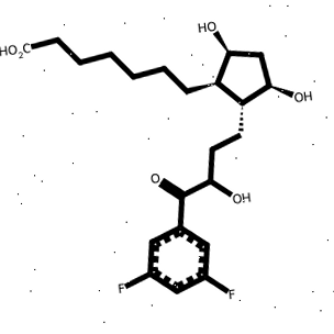 O=C(O)CCCCCC[C@@H]1[C@@H](CCC(O)C(=O)c2cc(F)cc(F)c2)[C@H](O)C[C@@H]1O